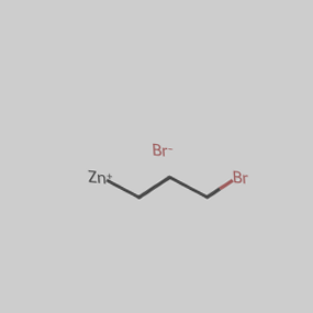 [Br-].[Zn+][CH2]CCBr